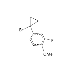 COc1ccc(C2(Br)CC2)cc1F